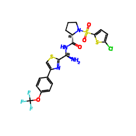 N[C@H](NC(=O)[C@@H]1CCCN1S(=O)(=O)c1ccc(Cl)s1)c1nc(-c2ccc(OC(F)(F)F)cc2)cs1